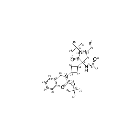 C=CCCC(NC(C)=O)(C(=O)NC(C)(C)C)C1CC(N(Cc2ccccc2)C(=O)OC(C)(C)C)C1